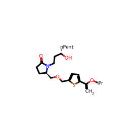 C=C(OC(C)C)c1ccc(COC[C@H]2CCC(=O)N2CC[C@@H](O)CCCCC)s1